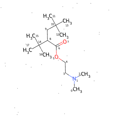 CN(C)CCOC(=O)C(CC(C)(C)C)C(C)(C)C